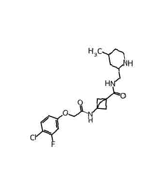 CC1CCNC(CNC(=O)C23CC(NC(=O)COc4ccc(Cl)c(F)c4)(C2)C3)C1